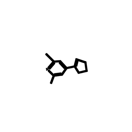 Cc1cc(C2=CCCC2)cc(C)n1